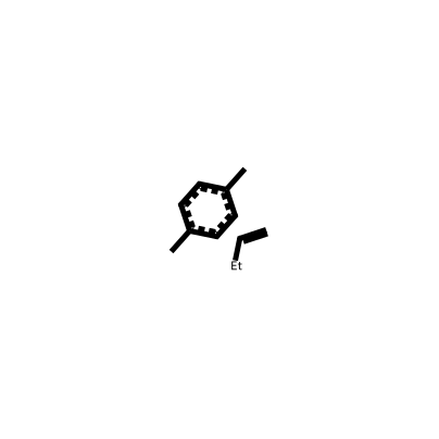 C=CCC.Cc1ccc(C)cc1